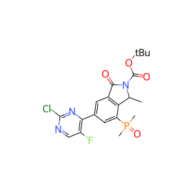 CC1c2c(cc(-c3nc(Cl)ncc3F)cc2P(C)(C)=O)C(=O)N1C(=O)OC(C)(C)C